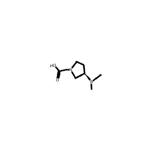 CN(C)[C@@H]1CCN(C(=O)O)C1